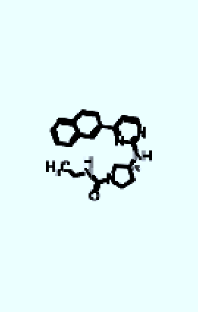 CCNC(=O)N1CC[C@H](Nc2nccc(-c3ccc4ccccc4c3)n2)C1